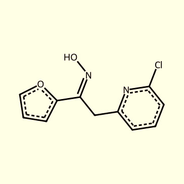 ON=C(Cc1cccc(Cl)n1)c1ccco1